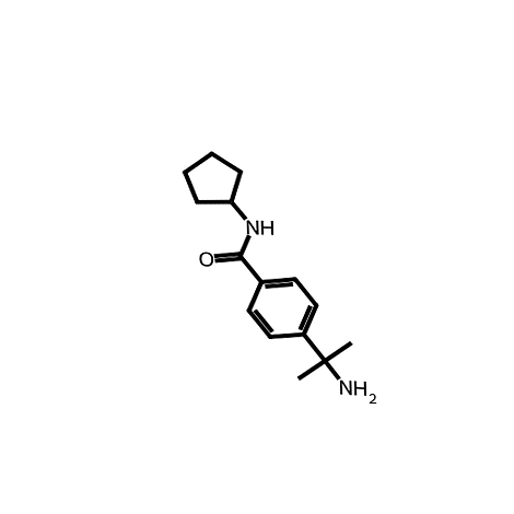 CC(C)(N)c1ccc(C(=O)NC2CCCC2)cc1